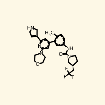 Cc1ccc(NC(=O)N2CC[C@@H](CC(F)(F)F)C2)cc1-c1cc(C2=CCNC2)nc(N2CCOCC2)c1